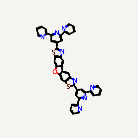 c1ccc(-c2cc(-c3nc4cc5c(cc4s3)oc3cc4sc(-c6cc(-c7ccccn7)nc(-c7ccccn7)c6)nc4cc35)cc(-c3ccccn3)n2)nc1